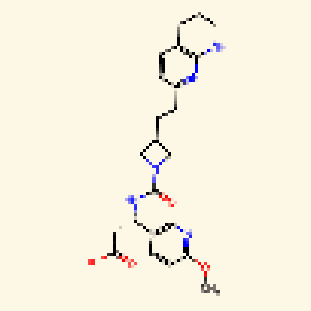 COc1ccc([C@H](CC(=O)O)NC(=O)N2CC(CCc3ccc4c(n3)NCCC4)C2)cn1